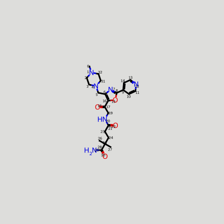 CN1CCN(Cc2nc(-c3ccncc3)oc2C(=O)CNC(=O)[CH]CC(C)(C)C(N)=O)CC1